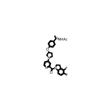 CC(=O)N[C@@H](C)c1ccc(O[C@@H]2CCN(c3ccnc(C(=O)N4CCc5c4ccc(F)c5F)c3)C2)cc1